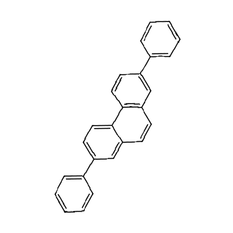 c1ccc(-c2ccc3c(ccc4cc(-c5ccccc5)ccc43)c2)cc1